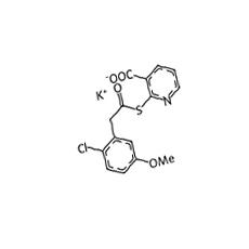 COc1ccc(Cl)c(CC(=O)Sc2ncccc2C(=O)[O-])c1.[K+]